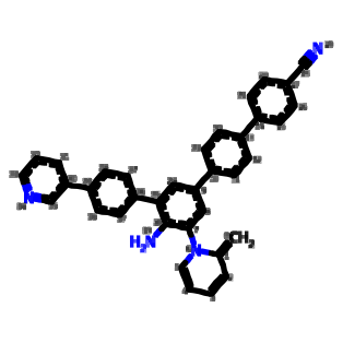 C=C1C=CC=CN1c1cc(-c2ccc(-c3ccc(C#N)cc3)cc2)cc(-c2ccc(-c3cccnc3)cc2)c1N